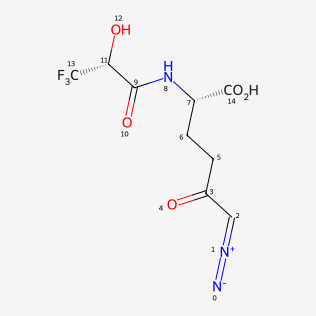 [N-]=[N+]=CC(=O)CC[C@H](NC(=O)[C@@H](O)C(F)(F)F)C(=O)O